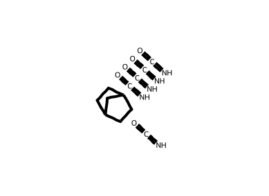 C1CC2CCC1C2.N=C=O.N=C=O.N=C=O.N=C=O.N=C=O